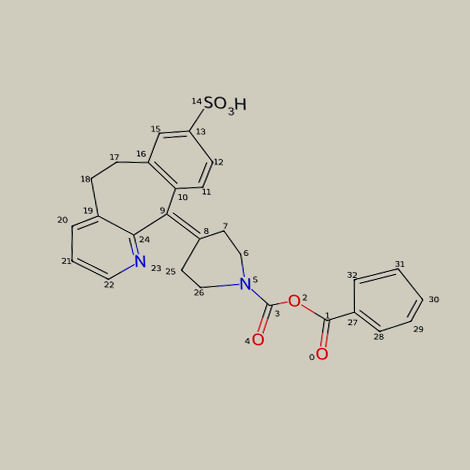 O=C(OC(=O)N1CCC(=C2c3ccc(S(=O)(=O)O)cc3CCc3cccnc32)CC1)c1ccccc1